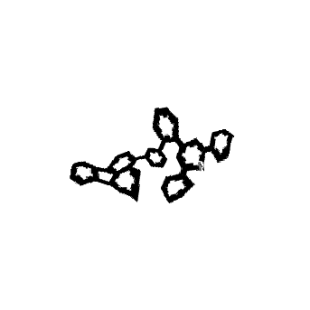 c1ccc(-c2cc(-c3ccccc3-c3cccc(-c4ccc5c6c(cccc46)-c4ccccc4-5)c3)cc(-c3ccccc3)n2)cc1